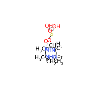 C=Cc1c(C)c2cc3nc(c(C)c4cc(C)c(cc5nc(cc1[nH]2)C(C)=C5CC)[nH]4)[C@@H](CCC(=O)OCCCS[C@H]1C[C@@H](O)C[C@@H](CO)O1)[C@@H]3C